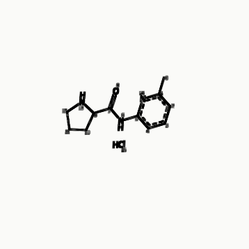 Cc1cccc(NC(=O)C2CCCN2)n1.Cl